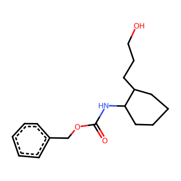 O=C(NC1CCCCC1CCCO)OCc1ccccc1